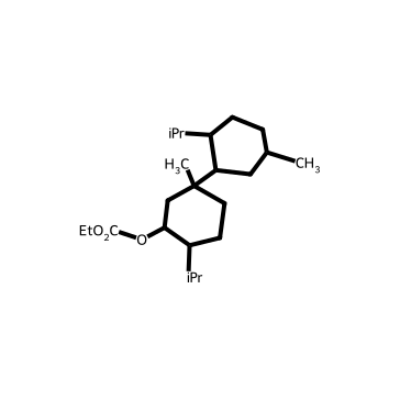 CCOC(=O)OC1CC(C)(C2CC(C)CCC2C(C)C)CCC1C(C)C